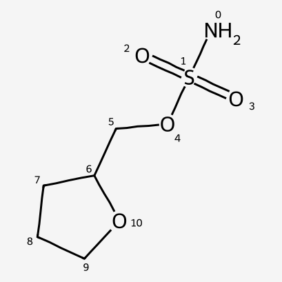 NS(=O)(=O)OCC1CCCO1